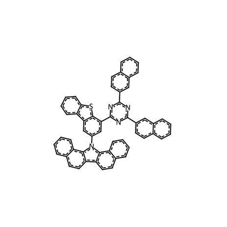 c1ccc2cc(-c3nc(-c4ccc5ccccc5c4)nc(-c4cc(-n5c6c7ccccc7ccc6c6ccc7ccccc7c65)cc5c4sc4ccccc45)n3)ccc2c1